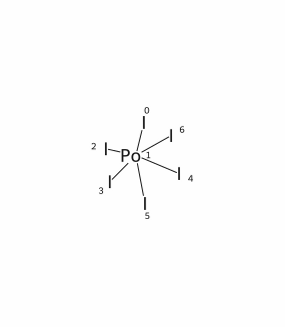 [I][Po]([I])([I])([I])([I])[I]